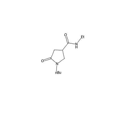 CCCCN1CC(C(=O)NCC)CC1=O